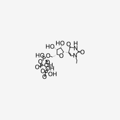 CCn1cc([C@@H]2O[C@H](COP(=O)(O)OP(=O)(O)OP(=O)(O)O)[C@H](O)[C@@H]2O)c(=O)[nH]c1=O